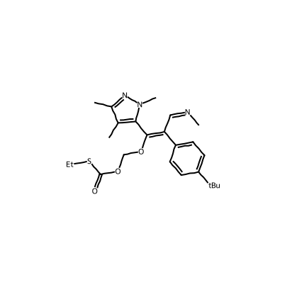 CCSC(=O)OCO/C(=C(/C=N\C)c1ccc(C(C)(C)C)cc1)c1c(C)c(C)nn1C